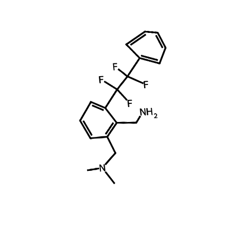 CN(C)Cc1cccc(C(F)(F)C(F)(F)c2ccccc2)c1CN